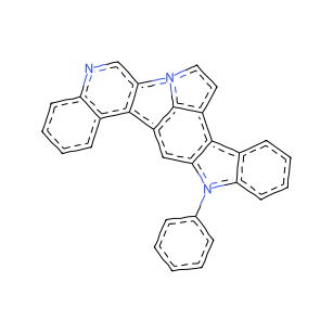 c1ccc(-n2c3ccccc3c3c4ccn5c6cnc7ccccc7c6c(cc32)c45)cc1